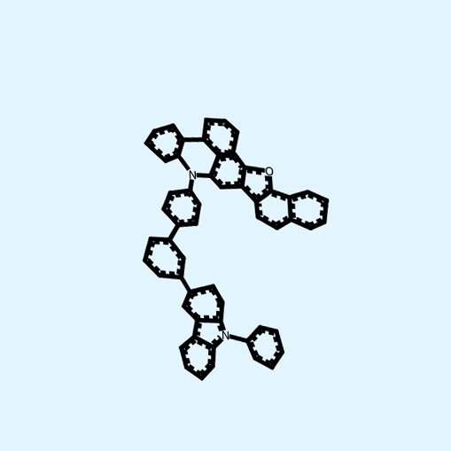 c1ccc(-c2ccccc2N(c2ccc(-c3cccc(-c4ccc5c(c4)c4ccccc4n5-c4ccccc4)c3)cc2)c2ccc3oc4c5ccccc5ccc4c3c2)cc1